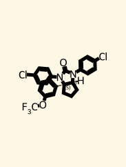 O=C1N(c2ccc(Cl)cc2)[C@H]2CCC[C@@]2(c2cccc(OC(F)(F)F)c2)N1c1ccc(Cl)cc1